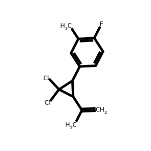 C=C(C)C1C(c2ccc(F)c(C)c2)C1(Cl)Cl